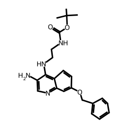 CC(C)(C)OC(=O)NCCNc1c(N)cnc2cc(OCc3ccccc3)ccc12